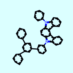 c1ccc(-c2cc(-c3ccccc3)cc(-c3cccc(-n4c5ccccc5c5c6c7ccccc7n(-c7ccccc7)c6ccc54)c3)c2)cc1